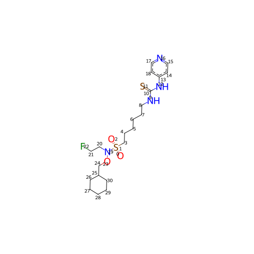 O=S(=O)(CCCCCCNC(=S)Nc1ccncc1)N(CCF)OCC1CCCCC1